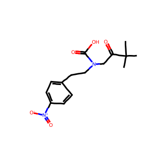 CC(C)(C)C(=O)CN(CCc1ccc([N+](=O)[O-])cc1)C(=O)O